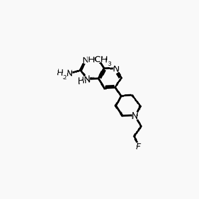 Cc1ncc(C2CCN(CCF)CC2)cc1NC(=N)N